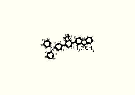 CC1(C)c2ccccc2-c2ccc(-c3ccc(-c4ccc(N(c5ccccc5)c5ccccc5)cc4)c4nsnc34)cc21